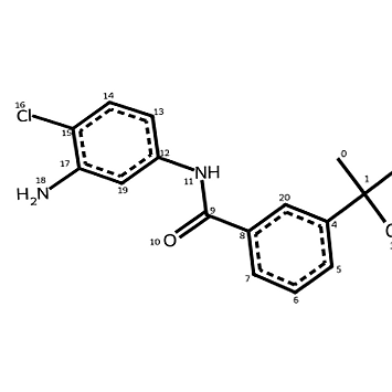 CC(C)(C#N)c1cccc(C(=O)Nc2ccc(Cl)c(N)c2)c1